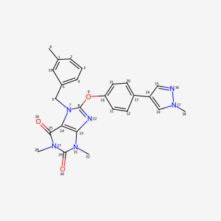 Cc1cccc(Cn2c(Oc3ccc(-c4cnn(C)c4)cc3)nc3c2c(=O)n(C)c(=O)n3C)c1